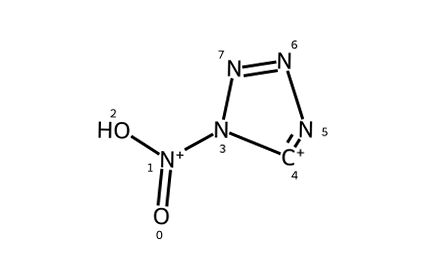 O=[N+](O)N1[C+]=NN=N1